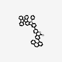 O=c1oc2cc(-c3ccc4c(c3)c3ccc5c(c3n4-c3ccccc3)-c3ccccc3C53c4ccccc4-c4ccccc43)ccc2c2ccc(-c3cccc4c3-c3ccccc3CC4)cc12